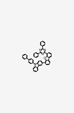 c1ccc(-c2ccc(-n3c4ccccc4c4cc(-c5cccc6c5oc5c(-c7nc(-c8ccccc8)nc(-c8ccccc8)n7)cccc56)ccc43)cc2)cc1